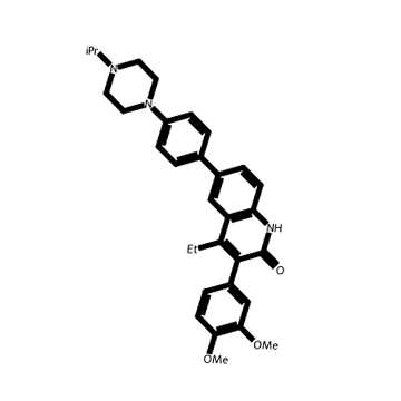 CCc1c(-c2ccc(OC)c(OC)c2)c(=O)[nH]c2ccc(-c3ccc(N4CCN(C(C)C)CC4)cc3)cc12